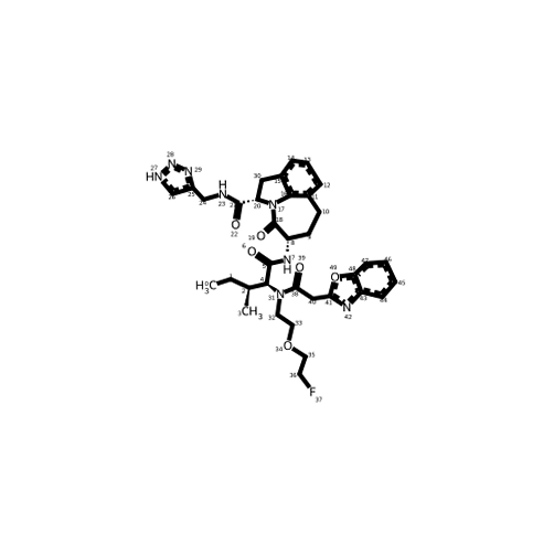 CC[C@H](C)[C@@H](C(=O)N[C@H]1CCc2cccc3c2N(C1=O)[C@H](C(=O)NCc1c[nH]nn1)C3)N(CCOCCF)C(=O)Cc1nc2ccccc2o1